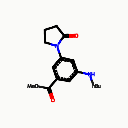 CCCCNc1cc(C(=O)OC)cc(N2CCCC2=O)c1